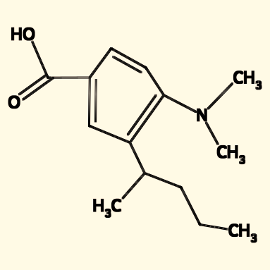 CCCC(C)c1cc(C(=O)O)ccc1N(C)C